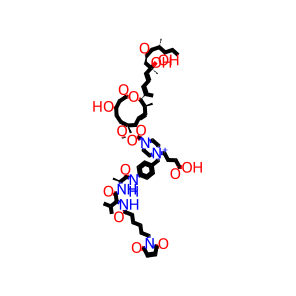 CC[C@H](O)[C@@H](C)[C@H]1O[C@@H]1C[C@@](C)(O)/C=C/C=C(\C)[C@H]1OC(=O)C[C@H](O)CC[C@@](C)(OC)[C@@H](OC(=O)N2CC[N+](CCCC(=O)O)(Cc3ccc(NC(=O)[C@H](C)NC(=O)C(NC(=O)CCCCCN4C(=O)C=CC4=O)C(C)C)cc3)CC2)/C=C/[C@@H]1C